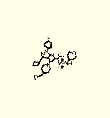 COCC1CCN(c2cc(C(=O)NS(=O)(=O)NC3CCOCC3)nc3c2c(C2CCC2)nn3-c2ccc(F)cc2)CC1